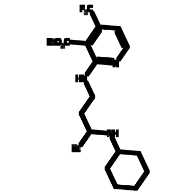 CCOC(=O)c1c(C(F)(F)F)ccnc1NCCC(CC)NC1CCCCC1